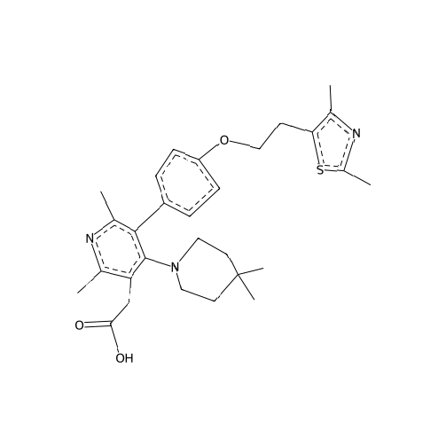 Cc1nc(C)c(CCOc2ccc(-c3c(C)nc(C)c(CC(=O)O)c3N3CCC(C)(C)CC3)cc2)s1